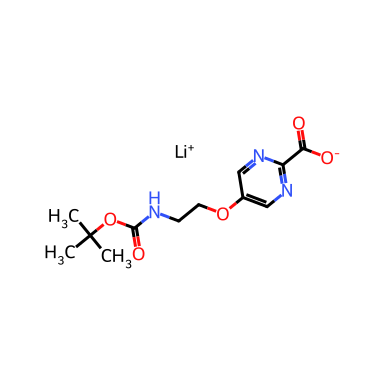 CC(C)(C)OC(=O)NCCOc1cnc(C(=O)[O-])nc1.[Li+]